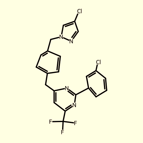 FC(F)(F)c1cc(Cc2ccc(Cn3cc(Cl)cn3)cc2)nc(-c2cccc(Cl)c2)n1